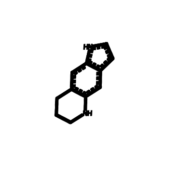 c1cc2cc3c(cc2[nH]1)CCCN3